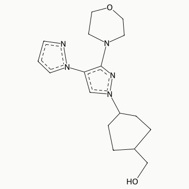 OCC1CCC(n2cc(-n3cccn3)c(N3CCOCC3)n2)CC1